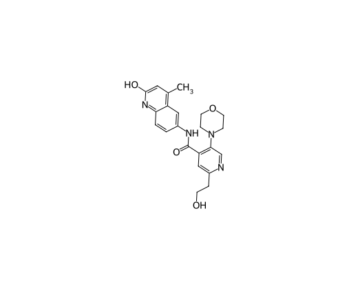 Cc1cc(O)nc2ccc(NC(=O)c3cc(CCO)ncc3N3CCOCC3)cc12